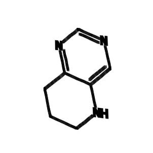 c1ncc2c(n1)CCCN2